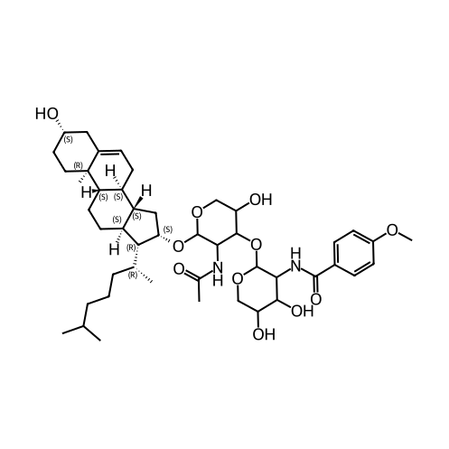 COc1ccc(C(=O)NC2C(OC3C(O)COC(O[C@H]4C[C@@H]5[C@H](CC[C@H]6[C@H]5CC=C5C[C@@H](O)CC[C@@]56C)[C@H]4[C@H](C)CCCC(C)C)C3NC(C)=O)OCC(O)C2O)cc1